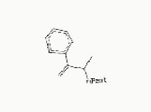 C=C(c1ccccc1)C(C)CCCCC